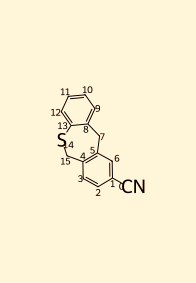 N#Cc1ccc2c(c1)Cc1ccccc1SC2